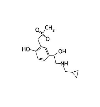 CS(=O)(=O)Cc1cc(C(O)CNCC2CC2)ccc1O